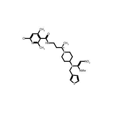 CNC(=C[N+](=O)[O-])N(Cc1ccsc1)C1CCN([C@H](C)CCNC(=O)c2c(C)cc(Cl)nc2C)CC1